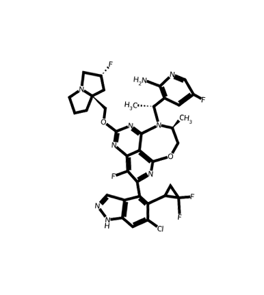 C[C@H](c1cc(F)cnc1N)N1c2nc(OC[C@@]34CCCN3C[C@H](F)C4)nc3c(F)c(-c4c(C5CC5(F)F)c(Cl)cc5[nH]ncc45)nc(c23)OC[C@@H]1C